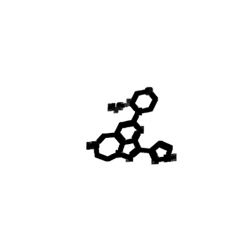 C[C@@H]1COCCN1c1cc2c3c(n1)c(-c1cc[nH]n1)nn3CCNC2